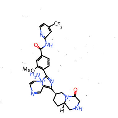 COc1cc(C(=O)Nc2cc(C(F)(F)F)ccn2)ccc1C1=NC([C@@H]2CC[C@H]3CNCC(=O)N3C2)=C2C=NC=C[N+]12N